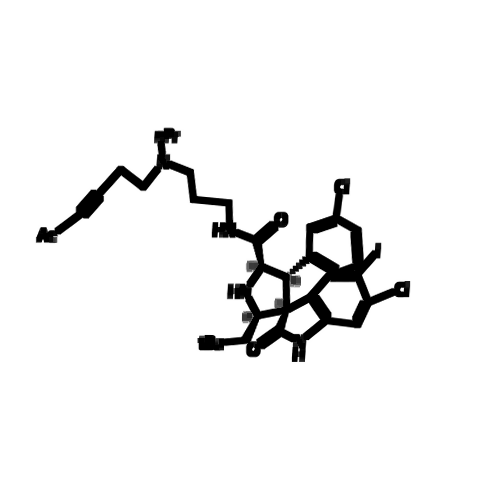 CCCN(CCC#CC(C)=O)CCCNC(=O)[C@@H]1N[C@H](CC(C)(C)C)[C@]2(C(=O)Nc3cc(Cl)c(I)cc32)[C@H]1c1cccc(Cl)c1